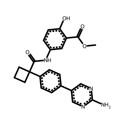 COC(=O)c1cc(NC(=O)C2(c3ccc(-c4cnc(N)nc4)cc3)CCC2)ccc1O